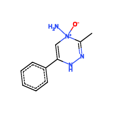 CC1=NNC(c2ccccc2)=C[N+]1(N)[O-]